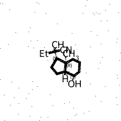 CCC(C)(C#N)[C@H]1CC[C@H]2[C@@H](O)CCC[C@]12C